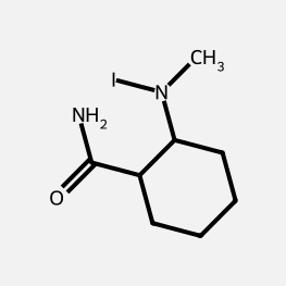 CN(I)C1CCCCC1C(N)=O